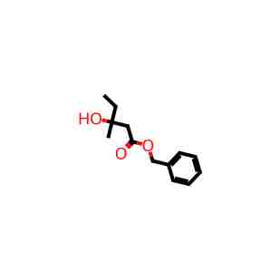 CCC(C)(O)CC(=O)OCc1ccccc1